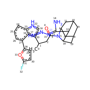 CC(CC(=O)N1C2CC3CC(C2)C(/C(N)=N/N=N)C1C3)c1c[nH]c2cccc(-c3ccc(F)o3)c12